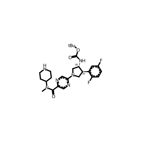 CN(C(=O)c1cnc(N2C[C@H](NC(=O)OC(C)(C)C)[C@@H](c3cc(F)ccc3F)C2)cn1)C1CCNCC1